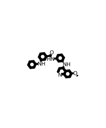 COc1ccc2nccc(Nc3cccc(NC(=O)c4cccc(Nc5ccccc5)c4)c3)c2c1